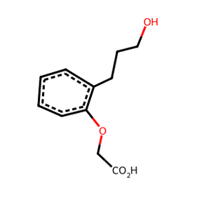 O=C(O)COc1ccccc1CCCO